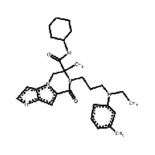 CCN(CCCN1C(=O)c2cc3occc3n2CC1(C)C(=O)NC1CCCCC1)c1cccc(C)c1